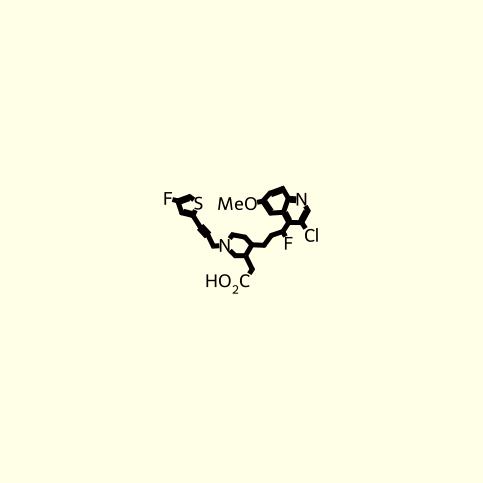 COc1ccc2ncc(Cl)c(C(F)CCC3CCN(CC#Cc4cc(F)cs4)CC3CC(=O)O)c2c1